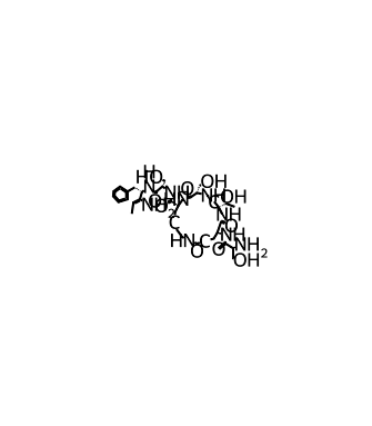 CC=C(N)[C@H](Cc1ccccc1)NC(=O)[C@H](CO)NC(=O)[C@@H]1CCCCNC(=O)CC[C@H](NC(=O)[C@@H](N)CO)C(=O)N[C@@H](C(C)O)CN[C@@H](CO)C(=O)N1